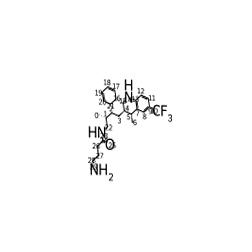 C[C@H](CC[C@@H]1[C@H](C)c2cc(C(F)(F)F)ccc2N[C@H]1C1C=CC=CC1)CNC(=O)CCCN